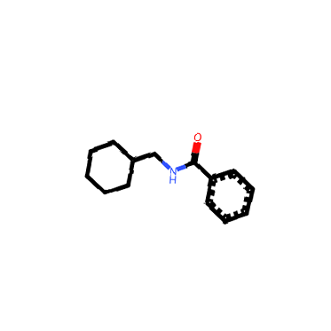 O=C(NCC1CCCCC1)c1[c]cccc1